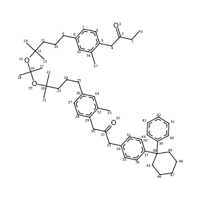 CCC(=O)Cc1ccc(CCCC(C)(C)OC(C)(C)OC(C)(C)CCCc2ccc(CC(=O)Cc3ccc(C4(c5ccccc5)CCCCC4)cc3)c(C)c2)cc1C